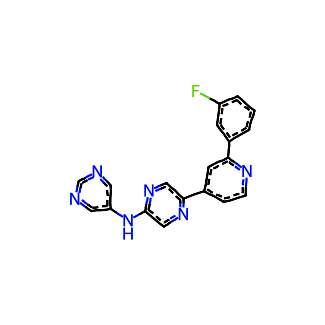 Fc1cccc(-c2cc(-c3cnc(Nc4cncnc4)cn3)ccn2)c1